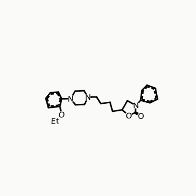 CCOc1ccccc1N1CCN(CCCCC2CN(c3ccccc3)C(=O)O2)CC1